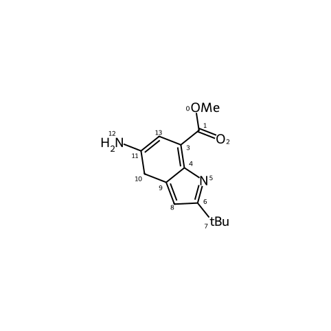 COC(=O)C1=C2N=C(C(C)(C)C)C=C2CC(N)=C1